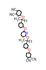 CCC(C)(Oc1ccc(C#N)c(C#N)c1)c1cccc(Oc2cccc(OC(C)(CC)c3cccc(Oc4ccc(C#N)c(C#N)c4)c3)n2)c1